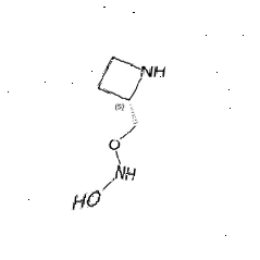 ONOC[C@@H]1CCN1